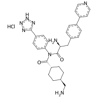 Cl.NC[C@H]1CC[C@H](C(=O)N(C(=O)[C@@H](N)Cc2ccc(-c3ccncc3)cc2)c2ccc(-c3nn[nH]n3)cc2)CC1